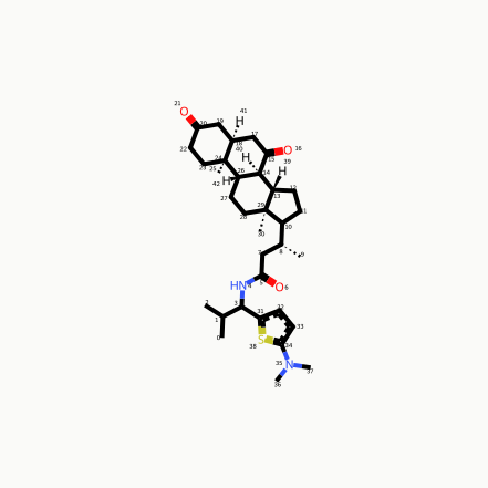 CC(C)C(NC(=O)C[C@@H](C)C1CC[C@H]2[C@@H]3C(=O)C[C@@H]4CC(=O)CC[C@]4(C)[C@H]3CC[C@]12C)c1ccc(N(C)C)s1